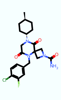 C[C@H]1CC[C@H](N2CC(=O)N(Cc3ccc(Cl)c(F)c3)C3(CN(C(N)=O)C3)C2=O)CC1